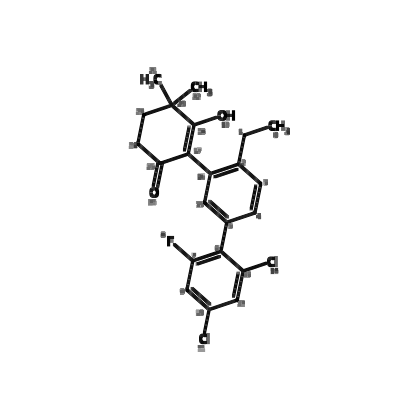 CCc1ccc(-c2c(F)cc(Cl)cc2Cl)cc1C1=C(O)C(C)(C)CCC1=O